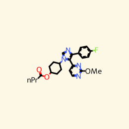 CCCC(=O)OC1CCC(n2cnc(-c3ccc(F)cc3)c2-c2ccnc(OC)n2)CC1